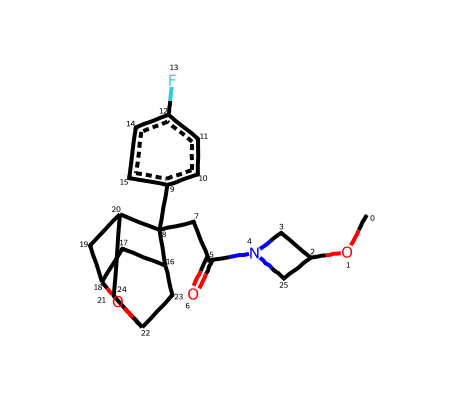 COC1CN(C(=O)CC2(c3ccc(F)cc3)C3CC4CC2CC(C3)O4)C1